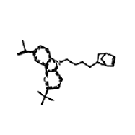 C=C(C)c1ccc2c(c1)c1cc(C(C)(C)C)ccc1n2CCCCC1CC2C=CC1C2